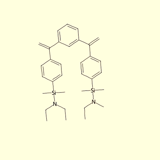 C=C(c1ccc([Si](C)(C)N(C)CC)cc1)c1cccc(C(=C)c2ccc([Si](C)(C)N(CC)CC)cc2)c1